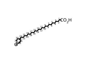 O=C(O)CCCCCCCCCCCCCCCCCCCCCCCC1CC[S+]([O-])CC1